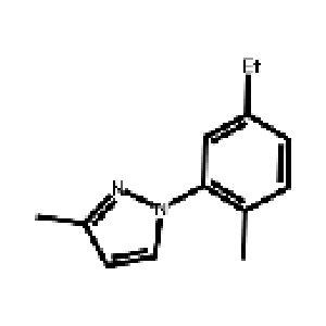 CCc1ccc(C)c(-n2ccc(C)n2)c1